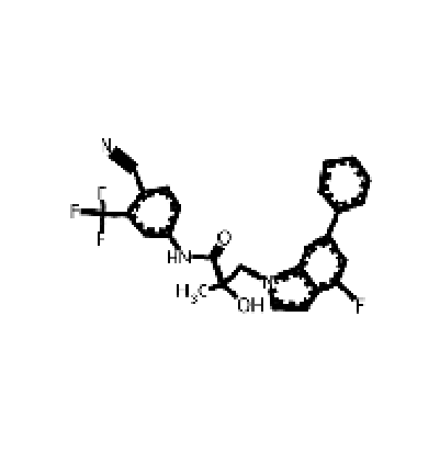 CC(O)(Cn1ccc2c(F)cc(-c3ccccc3)cc21)C(=O)Nc1ccc(C#N)c(C(F)(F)F)c1